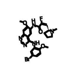 COc1cc2ncnc(Nc3cc(Br)ccc3OC)c2cc1NC(=O)/C(F)=C\[C@H]1CCCN1C